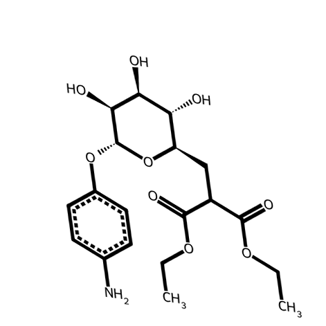 CCOC(=O)C(C[C@H]1O[C@H](Oc2ccc(N)cc2)[C@@H](O)[C@@H](O)[C@@H]1O)C(=O)OCC